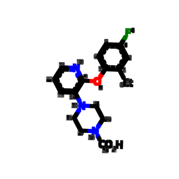 CCc1cc(F)ccc1Oc1ncccc1N1CCN(C(=O)O)CC1